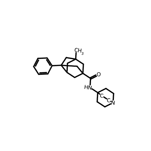 CC12CC3CC(C(=O)NC45CCN(CC4)CC5)(C1)CC3(c1ccccc1)C2